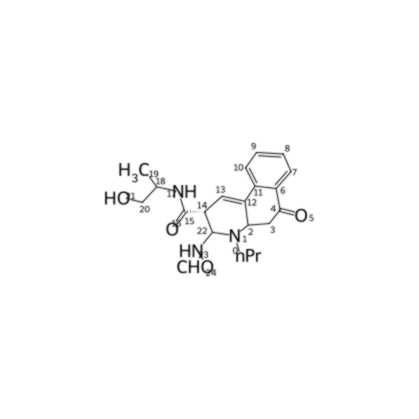 CCCN1C2CC(=O)c3ccccc3C2=C[C@@H](C(=O)NC(C)CO)C1NC=O